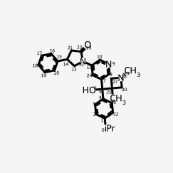 CC(C)c1ccc(C(O)(c2cncc(N3CC(c4ccccc4)CC3=O)c2)C2(C)CN(C)C2)cc1